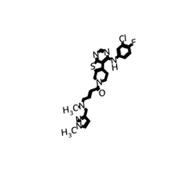 CN(C/C=C/C(=O)N1CCc2c(sc3ncnc(Nc4ccc(F)c(Cl)c4)c23)C1)Cc1ccn(C)n1